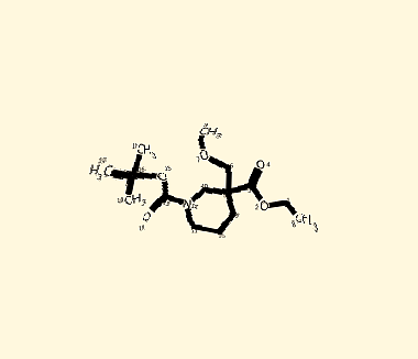 CCOC(=O)C1(COC)CCCN(C(=O)OC(C)(C)C)C1